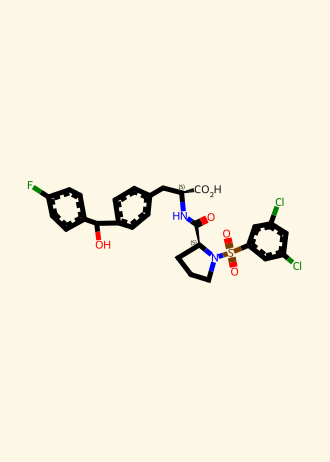 O=C(O)[C@H](Cc1ccc(C(O)c2ccc(F)cc2)cc1)NC(=O)[C@@H]1CCCN1S(=O)(=O)c1cc(Cl)cc(Cl)c1